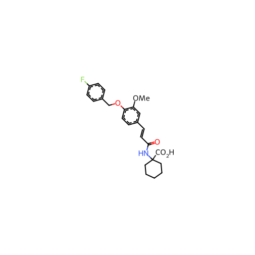 COc1cc(/C=C/C(=O)NC2(C(=O)O)CCCCC2)ccc1OCc1ccc(F)cc1